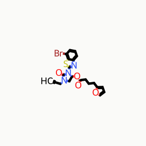 C#CCN1CC(OC(=O)CCCc2ccco2)N(c2nc3cccc(Br)c3s2)C1=O